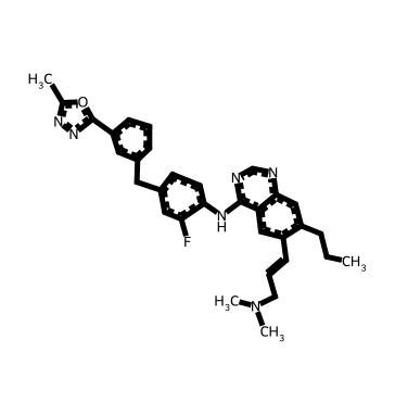 CCCc1cc2ncnc(Nc3ccc(Cc4cccc(-c5nnc(C)o5)c4)cc3F)c2cc1/C=C/CN(C)C